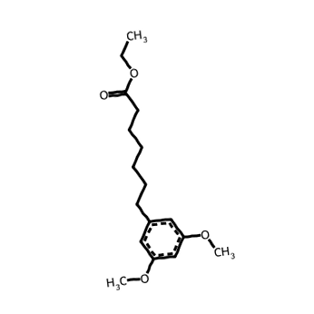 CCOC(=O)CCCCCCc1cc(OC)cc(OC)c1